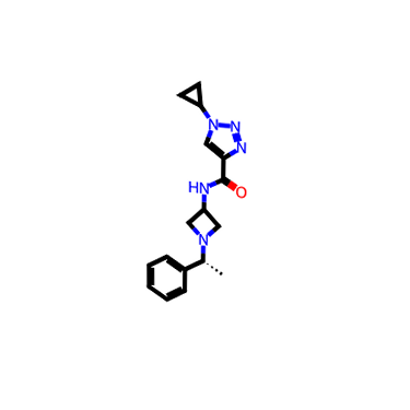 C[C@H](c1ccccc1)N1CC(NC(=O)c2cn(C3CC3)nn2)C1